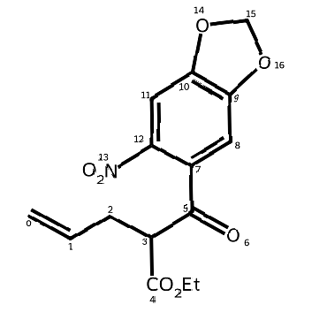 C=CCC(C(=O)OCC)C(=O)c1cc2c(cc1[N+](=O)[O-])OCO2